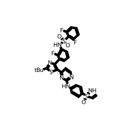 C=CS(=N)(=O)c1ccc(Nc2nccc(-c3sc(C(C)(C)C)nc3-c3cccc(NS(=O)(=O)c4c(F)cccc4F)c3F)n2)cc1